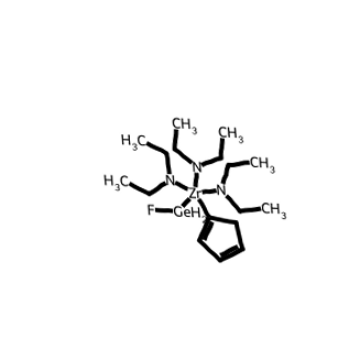 CC[N](CC)[Zr]([GeH2][F])([C]1=CC=CC1)([N](CC)CC)[N](CC)CC